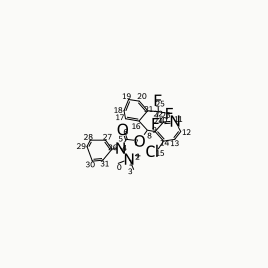 C[N+](C)(C)N(C(=O)OC(c1cnccc1Cl)c1ccccc1C(F)(F)F)c1ccccc1